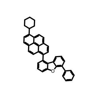 c1ccc(-c2cccc3c2oc2cccc(-c4ccc5ccc6c(C7CCCCC7)ccc7ccc4c5c76)c23)cc1